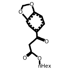 CCCCCCOC(=O)CC(=O)c1ccc2c(c1)OCO2